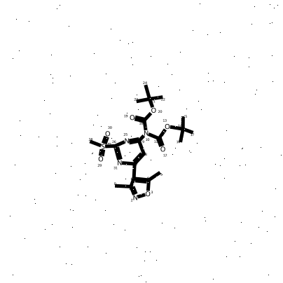 Cc1noc(C)c1-c1cc(N(C(=O)OC(C)(C)C)C(=O)OC(C)(C)C)nc(S(C)(=O)=O)n1